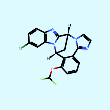 FC(F)Oc1cccc2c1[C@H]1C[C@H](c3nc4ccc(Cl)cc4n31)n1ccnc1-2